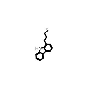 [S]CCCc1cccc2c1[nH]c1ccccc12